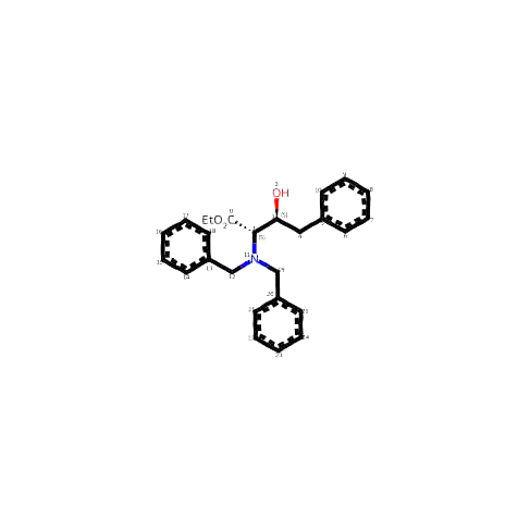 CCOC(=O)[C@H]([C@@H](O)Cc1ccccc1)N(Cc1ccccc1)Cc1ccccc1